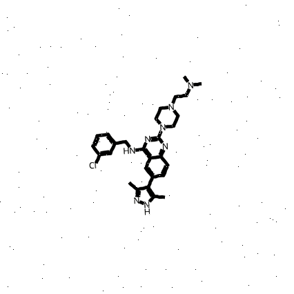 Cc1n[nH]c(C)c1-c1ccc2nc(N3CCN(CCN(C)C)CC3)nc(NCc3cccc(Cl)c3)c2c1